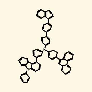 C1=C=Cc2c(cccc2-c2ccc(-c3ccc(N(C4=CC=C(c5cc6ccccc6c6ccccc56)CC4)c4cccc(-c5cccc6c5c5ccccc5n6-c5ccccc5)c4)cc3)cc2)C=1